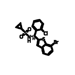 O=S(=O)(N[C@@H](c1cc2cccc(Br)c2s1)c1ccccc1Cl)C1CC1